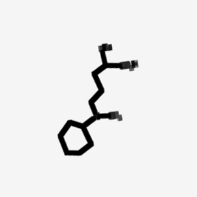 CCCCC(CCCN(C)C1CCCCC1)C(=O)O